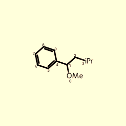 CO[C](CC(C)C)c1ccccc1